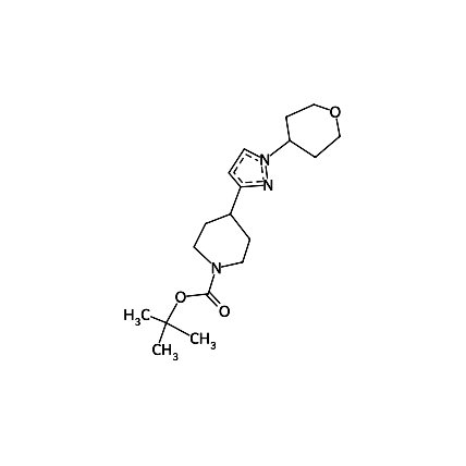 CC(C)(C)OC(=O)N1CCC(c2ccn(C3CCOCC3)n2)CC1